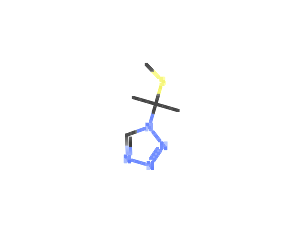 CSC(C)(C)n1cnnn1